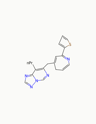 CCCc1c(CC2=CC(c3cccs3)=NC=CC2)ncn2ncnc12